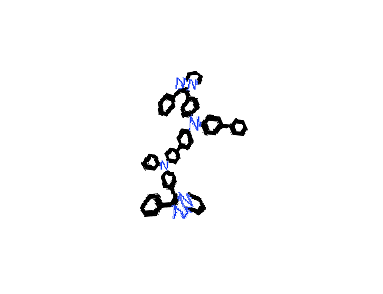 c1ccc(-c2ccc(N(c3ccc(-c4ccc(N(c5ccccc5)c5ccc(-c6c(-c7ccccc7)nc7ccccn67)cc5)cc4)cc3)c3ccc(-c4c(-c5ccccc5)nc5ccccn45)cc3)cc2)cc1